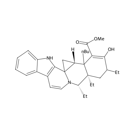 CCCCC12C(C(=O)OC)=C(O)C(CC)C[C@@]1(CC)[C@H](CC)N1C=Cc3c([nH]c4ccccc34)C13C[C@@H]32